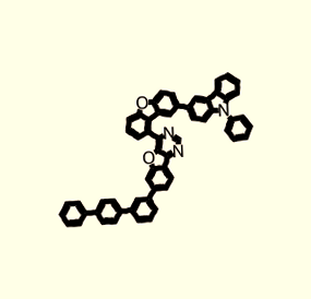 c1ccc(-c2ccc(-c3cccc(-c4ccc5c(c4)oc4c(-c6cccc7oc8ccc(-c9ccc%10c(c9)c9ccccc9n%10-c9ccccc9)cc8c67)ncnc45)c3)cc2)cc1